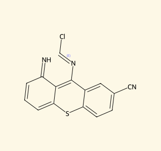 N#Cc1ccc2sc3cccc(=N)c-3c(/N=C/Cl)c2c1